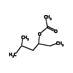 CCC(CC(C)C)OC(C)=O